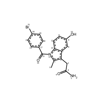 Cc1c(CC(N)=O)c2cc(O)ccc2n1C(=O)c1ccc(Br)cc1